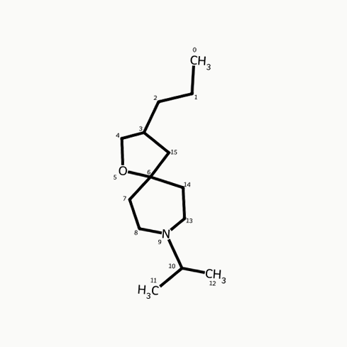 CCCC1COC2(CCN(C(C)C)CC2)C1